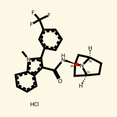 CN1[C@@H]2CC[C@H]1C[C@@H](NC(=O)c1c(-c3cccc(C(F)(F)F)c3)n(C)c3ccccc13)C2.Cl